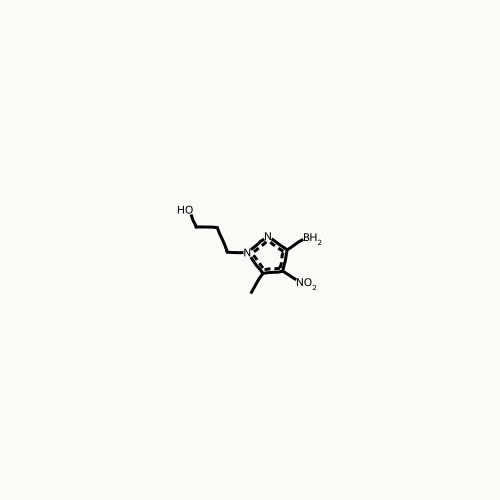 Bc1nn(CCCO)c(C)c1[N+](=O)[O-]